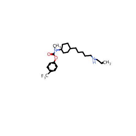 C=CCNCCCCCC1CCC(N(C)C(=O)Oc2ccc(C(F)(F)F)cc2)CC1